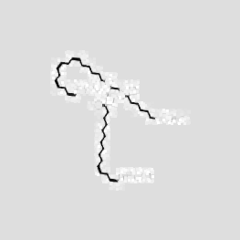 CC/C=C\C/C=C\C/C=C\C/C=C\CCCCC(=O)O[C@@H](COC(=O)CCCCCCCCC/C=C\C/C=C\CCCCC)COC(=O)CCCCCCCCCCCCCCC